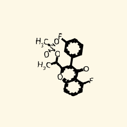 CC(OS(C)(=O)=O)c1oc2cccc(F)c2c(=O)c1-c1cccc(F)c1